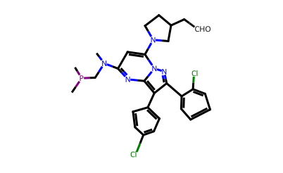 CN(CP(C)C)c1cc(N2CCC(CC=O)C2)n2nc(-c3ccccc3Cl)c(-c3ccc(Cl)cc3)c2n1